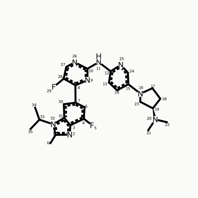 Cc1nc2c(F)cc(-c3nc(Nc4ccc(N5CC[C@@H](N(C)C)C5)cn4)ncc3F)cc2n1C(C)C